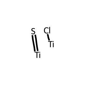 [Cl][Ti].[S]=[Ti]